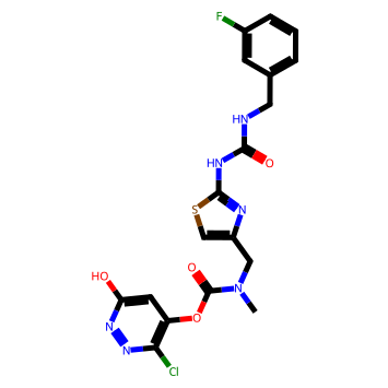 CN(Cc1csc(NC(=O)NCc2cccc(F)c2)n1)C(=O)Oc1cc(O)nnc1Cl